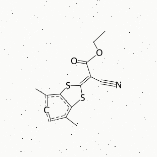 CCOC(=O)C(C#N)=C1Sc2c(C)ccc(C)c2S1